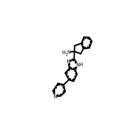 NC1(c2nc3cc(-c4ccncc4)ccc3[nH]2)Cc2ccccc2C1